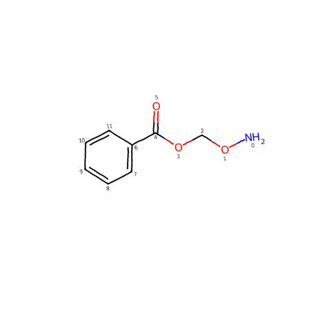 NOCOC(=O)c1ccccc1